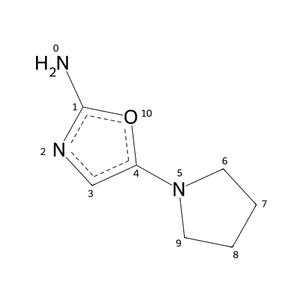 Nc1ncc(N2CCCC2)o1